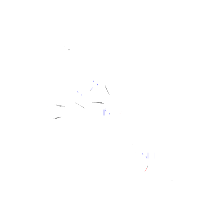 CC(NC(=O)OC(C)(C)C)[C@H]1CC[C@H](C(=O)Nc2ccnc3c2cc(-c2ccsc2)n3COCC[Si](C)(C)C)CC1